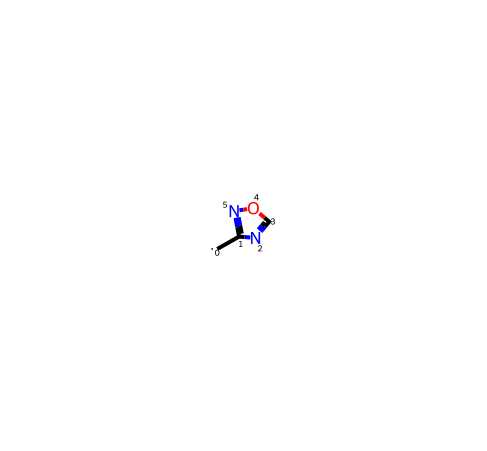 [CH2]c1ncon1